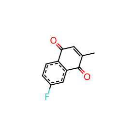 CC1=CC(=O)c2ccc(F)cc2C1=O